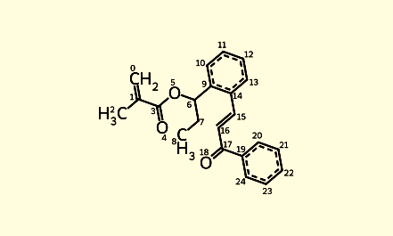 C=C(C)C(=O)OC(CC)c1ccccc1C=CC(=O)c1ccccc1